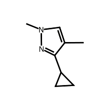 Cc1cn(C)nc1C1CC1